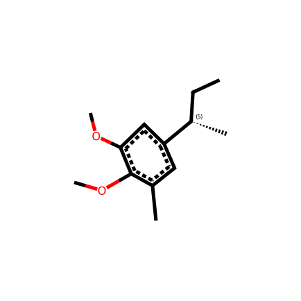 CC[C@H](C)c1cc(C)c(OC)c(OC)c1